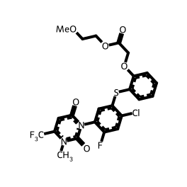 COCCOC(=O)COc1ccccc1Sc1cc(-n2c(=O)cc(C(F)(F)F)n(C)c2=O)c(F)cc1Cl